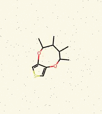 CC1Oc2cscc2OC(C)C(C)C1C